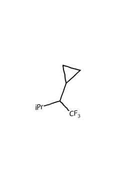 CC(C)C(C1CC1)C(F)(F)F